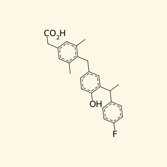 Cc1cc(CC(=O)O)cc(C)c1Cc1ccc(O)c(C(C)c2ccc(F)cc2)c1